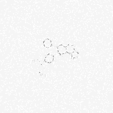 Cc1cc2ncc3cc(-c4ccccc4C)c(-c4ccc(C5(N)CC(C)(O)C5)cc4)nc3n2n1